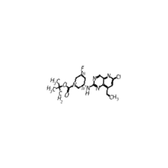 CCc1cc(Cl)nc2cnc(N[C@H]3C[C@H](F)CN(C(=O)OC(C)(C)C)C3)nc12